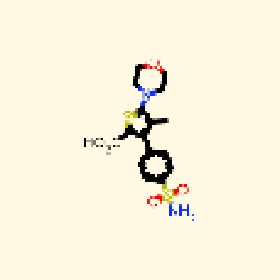 Cc1c(N2CCOCC2)sc(C(=O)O)c1-c1ccc(S(N)(=O)=O)cc1